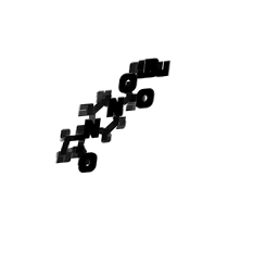 CC(C)(C)OC(=O)N1CCN(C2CCC2=O)CC1